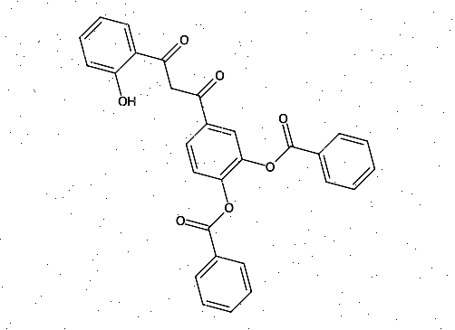 O=C(CC(=O)c1ccccc1O)c1ccc(OC(=O)c2ccccc2)c(OC(=O)c2ccccc2)c1